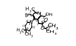 Cc1nc(CO)c(CC(=O)OC(C)C)c(N2CCC(C)(C)CC2)c1Br